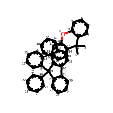 CC1(C)c2ccccc2Oc2cc(-c3ccccc3C3(c4ccccc4)c4ccccc4-c4ccc5ccccc5c43)ccc21